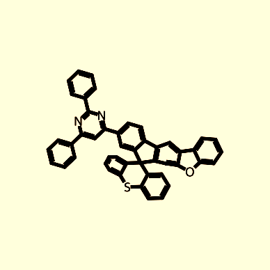 c1ccc(-c2cc(-c3ccc4c(c3)C3(c5ccccc5Sc5ccccc53)c3cc5oc6ccccc6c5cc3-4)nc(-c3ccccc3)n2)cc1